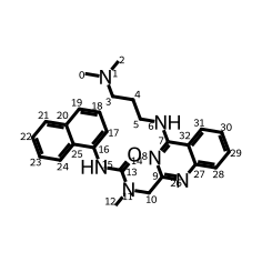 CN(C)CCCNc1nc(CN(C)C(=O)Nc2cccc3ccccc23)nc2ccccc12